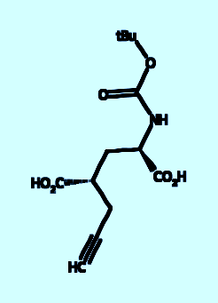 C#CC[C@@H](C[C@@H](NC(=O)OC(C)(C)C)C(=O)O)C(=O)O